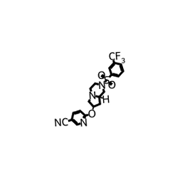 N#Cc1ccc(O[C@@H]2C[C@H]3CN(S(=O)(=O)c4cccc(C(F)(F)F)c4)CCN3C2)nc1